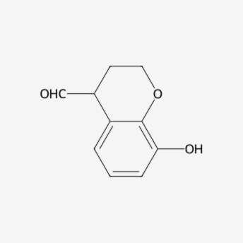 O=CC1CCOc2c(O)cccc21